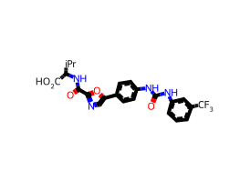 CC(C)C(NC(=O)c1ncc(-c2ccc(NC(=O)Nc3cccc(C(F)(F)F)c3)cc2)o1)C(=O)O